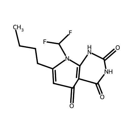 CCCCc1cc(=O)c2c(=O)[nH]c(=O)[nH]c2n1C(F)F